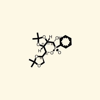 CC1(C)O[C@H]2[C@@H]([C@H]3COC(C)(C)O3)OP(=O)(c3ccccc3)[C@@H](O)[C@H]2O1